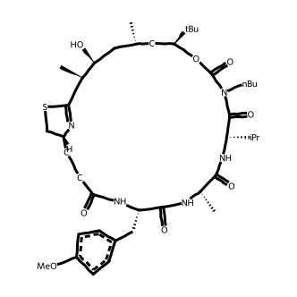 CCCCN1C(=O)O[C@H](C(C)(C)C)C[C@@H](C)C[C@H](O)[C@H](C)C2=N[C@H](CCC(=O)N[C@@H](Cc3ccc(OC)cc3)C(=O)N[C@@H](C)C(=O)N[C@@H](C(C)C)C1=O)CS2